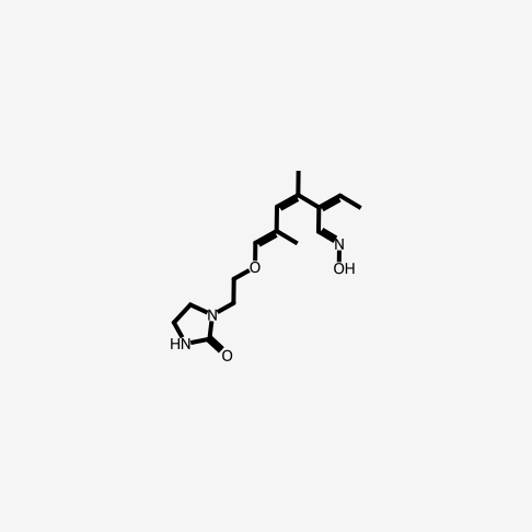 C/C=C(\C=N\O)C(/C)=C\C(C)=C\OCCN1CCNC1=O